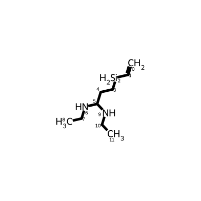 C=C[SiH2]CCC(NCC)NCC